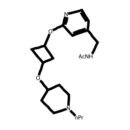 CCCN1CCC(OC2CC(Oc3cc(CNC(C)=O)ccn3)C2)CC1